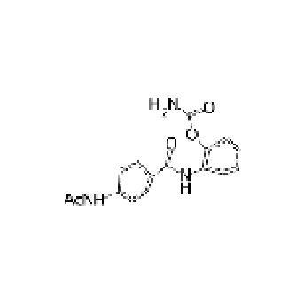 CC(=O)Nc1ccc(C(=O)Nc2ccccc2OC(N)=O)cc1